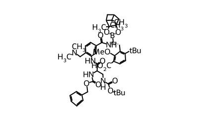 COc1c(C(=O)O)ccc(C(C)(C)C)c1C[C@H](NC(=O)c1ccc(CN(C)C)c(NC(=O)C(CNC(=O)OC(C)(C)C)NC(=O)OCc2ccccc2)c1)B1OC2CC3CC(C3(C)C)C2(C)O1